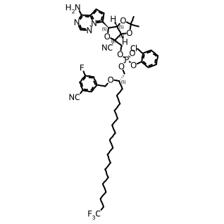 CC1(C)O[C@H]2[C@H](c3ccc4c(N)ncnn34)O[C@](C#N)(COP(=O)(OC[C@H](CCCCCCCCCCCCCCCCCC(F)(F)F)OCc3cc(F)cc(C#N)c3)Oc3ccccc3Cl)[C@H]2O1